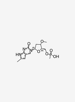 COC1C[C@H](n2cc3cc(C)[nH]c3nc2=O)O[C@@H]1COP(C)(=O)O